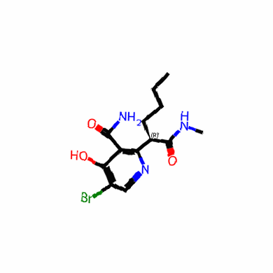 CCCC[C@@H](C(=O)NC)c1ncc(Br)c(O)c1C(N)=O